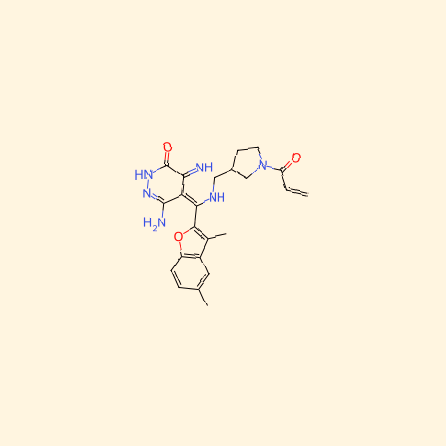 C=CC(=O)N1CCC(CN/C(=C2\C(=N)C(=O)NN=C2N)c2oc3ccc(C)cc3c2C)C1